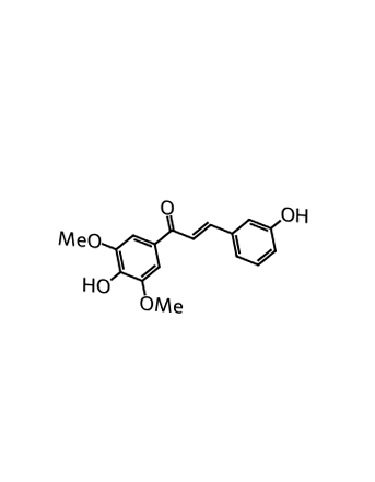 COc1cc(C(=O)/C=C/c2cccc(O)c2)cc(OC)c1O